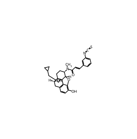 CN(C(=O)C=Cc1cccc(N=C=S)c1)[C@@H]1CCC2(O)[C@H]3Cc4ccc(O)c5c4[C@@]2(CCN3CC2CC2)[C@H]1O5